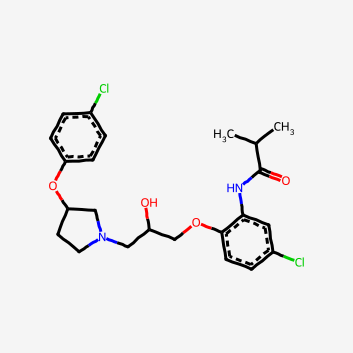 CC(C)C(=O)Nc1cc(Cl)ccc1OCC(O)CN1CCC(Oc2ccc(Cl)cc2)C1